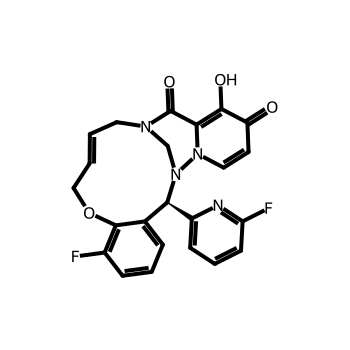 O=C1c2c(O)c(=O)ccn2N2CN1C/C=C/COc1c(F)cccc1[C@@H]2c1cccc(F)n1